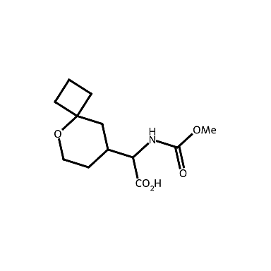 COC(=O)NC(C(=O)O)C1CCOC2(CCC2)C1